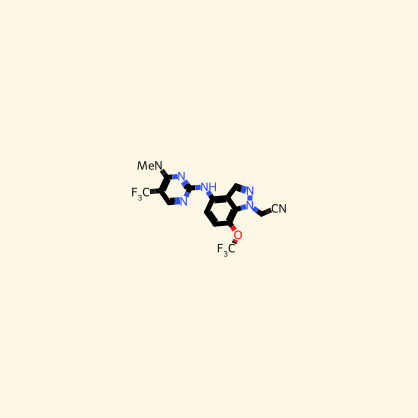 CNc1nc(Nc2ccc(OC(F)(F)F)c3c2cnn3CC#N)ncc1C(F)(F)F